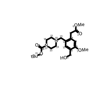 COC(=O)Cc1cc(OC)c(CO)cc1CN1CCN(C(=O)OC(C)(C)C)CC1